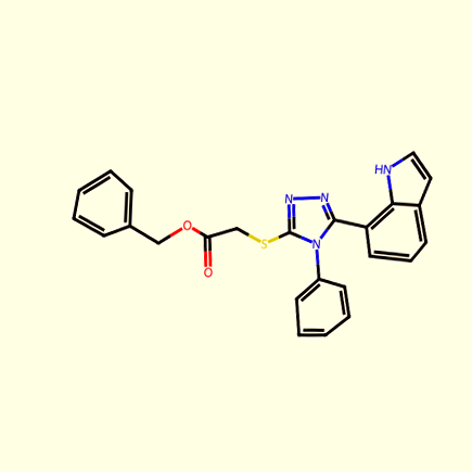 O=C(CSc1nnc(-c2cccc3cc[nH]c23)n1-c1ccccc1)OCc1ccccc1